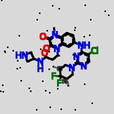 C[C@@H]1CN(c2ncc(Cl)c(Nc3ccc4c(c3)n(CCC(=O)NC3CNC3)c(=O)c(=O)n4C)n2)C[C@H](C)C1(F)F